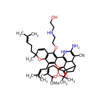 COC(=O)/C(C)=C\CC12OC(C)(C)C3CC(C1=O)C1C(C#N)=C(N)NC4=C1C32Oc1c(CC=C(C)C)c2c(c(OCCNCCO)c14)C=CC(C)(CCC=C(C)C)O2